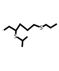 [CH2]CC(CCCSCCC)SC(C)C